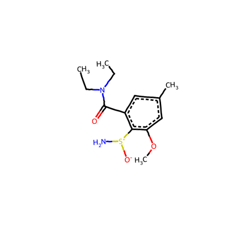 CCN(CC)C(=O)c1cc(C)cc(OC)c1[S+](N)[O-]